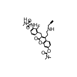 C#CCNCCc1c(Cc2cccc(NS(=O)(=O)NC)c2F)c(=O)oc2cc(OC(=O)N(C)C)ccc12